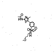 COCCCNS(=O)(=O)c1cc(-c2sc(NC(C)=O)nc2C)ccc1OC